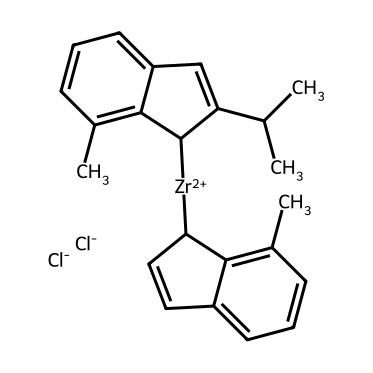 Cc1cccc2c1[CH]([Zr+2][CH]1C(C(C)C)=Cc3cccc(C)c31)C=C2.[Cl-].[Cl-]